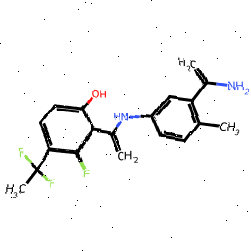 C=C(N)c1cc(NC(=C)C2C(O)=CC=C(C(C)(F)F)C2F)ccc1C